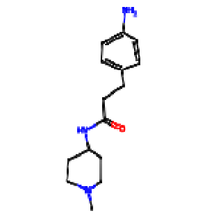 CN1CCC(NC(=O)CCc2ccc(N)cc2)CC1